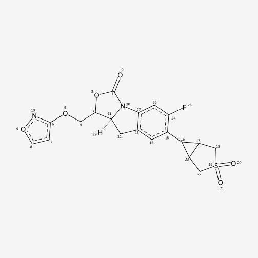 O=C1OC(COc2ccon2)[C@@H]2Cc3cc(C4C5CS(=O)(=O)CC54)c(F)cc3N12